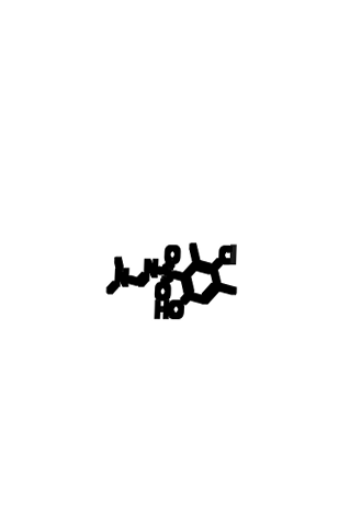 Cc1cc(O)c(S(=O)(=O)/N=C/N(C)C)c(C)c1Cl